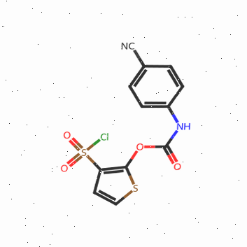 N#Cc1ccc(NC(=O)Oc2sccc2S(=O)(=O)Cl)cc1